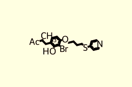 CC(=O)C(C)Cc1ccc(OCCCCSc2ccncc2)c(Br)c1O